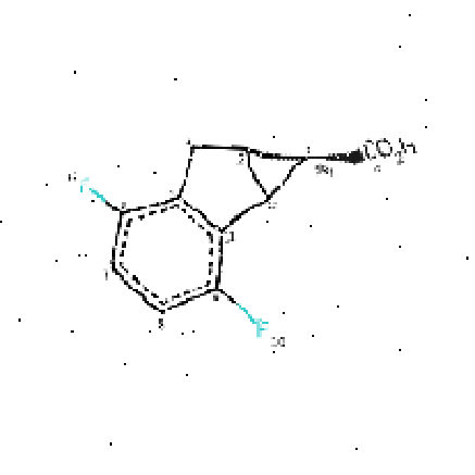 O=C(O)[C@@H]1C2Cc3c(F)ccc(F)c3C21